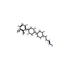 C/C=C/CCC1CCC(C2CCC(c3cccc(F)c3F)CC2)CC1